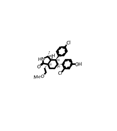 COCC[C@@]12CC[C@@H](c3ccc(O)cc3Cl)[C@H](c3ccc(Cl)cc3)[C@@H]1[C@@H](C)NC2=O